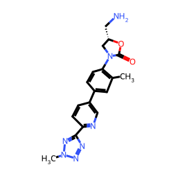 Cc1cc(-c2ccc(-c3nnn(C)n3)nc2)ccc1N1C[C@H](CN)OC1=O